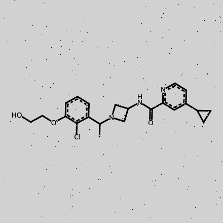 CC(c1cccc(OCCO)c1Cl)N1CC(NC(=O)c2cc(C3CC3)ccn2)C1